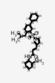 CN(C)Cc1ccc(-c2ccccc2)cc1S(=O)(=O)n1ccc(C=CC(=O)Nc2ccccc2N)c1